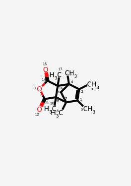 CC1=C(C)C2(C)CC1(C)C1(C)C(=O)OC(=O)C21C